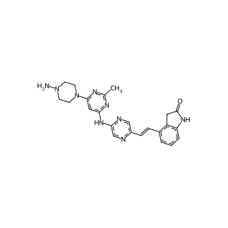 Cc1nc(Nc2cnc(/C=C/c3cccc4c3CC(=O)N4)cn2)cc(N2CCN(N)CC2)n1